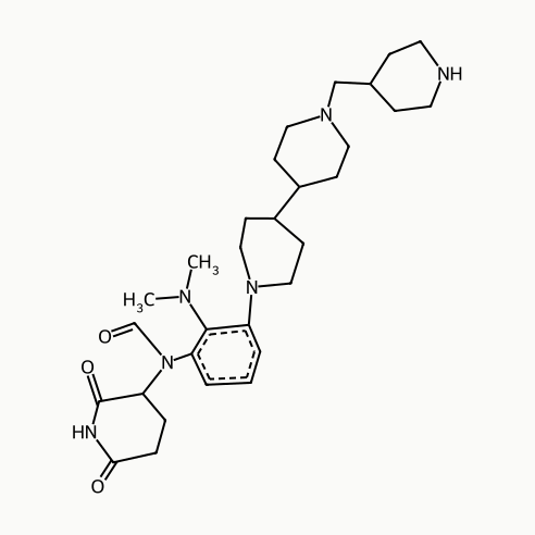 CN(C)c1c(N2CCC(C3CCN(CC4CCNCC4)CC3)CC2)cccc1N(C=O)C1CCC(=O)NC1=O